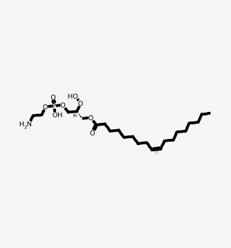 CCCCCCCC/C=C\CCCCCCCC(=O)OC[C@H](COP(=O)(O)OCCN)OO